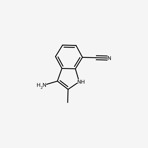 Cc1[nH]c2c(C#N)cccc2c1N